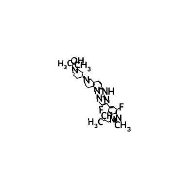 Cc1nc2c(F)cc(-c3nc(Nc4ccc5c(n4)CCN(C4CCN(CC(C)(C)O)CC4)C5)ncc3F)cc2n1CC(C)C